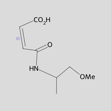 COCC(C)NC(=O)/C=C\C(=O)O